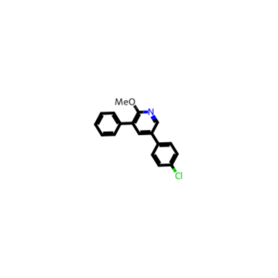 COc1ncc(-c2ccc(Cl)cc2)cc1-c1ccccc1